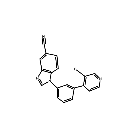 N#Cc1ccc2c(c1)ncn2-c1cccc(-c2ccncc2F)c1